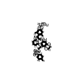 Cc1ccc(S(=O)(=O)OCCOc2cccc3nc(-c4c(C)cc(O[Si](C)(C)C(C)(C)C)cc4C)c(Nc4ccc5c(c4)OCCO5)n23)cc1